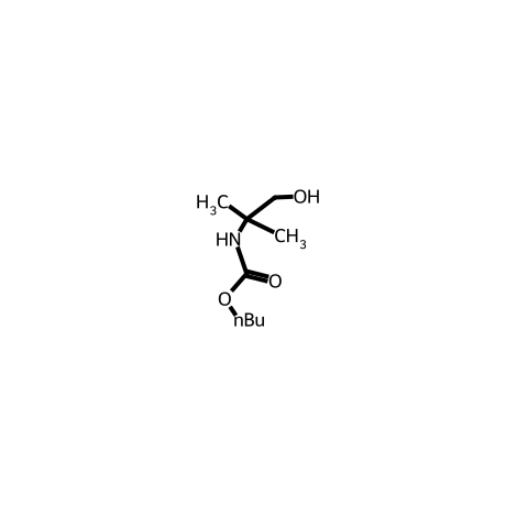 CCCCOC(=O)NC(C)(C)CO